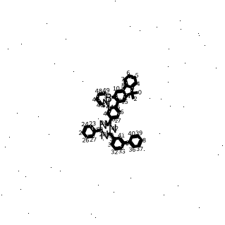 CC1(C)c2ccccc2-c2cc3c(cc21)-c1ccc(-c2nc(-c4ccccc4)nc(-c4cccc(-c5ccccc5)c4)n2)cc1N1C=CC=CB31